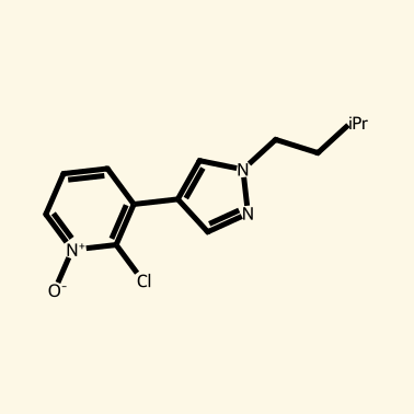 CC(C)CCn1cc(-c2ccc[n+]([O-])c2Cl)cn1